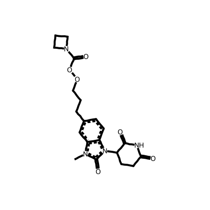 Cn1c(=O)n(C2CCC(=O)NC2=O)c2ccc(CCCOOC(=O)N3CCC3)cc21